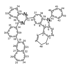 C1=Cc2c(ccc3c2c2cc(-c4nc(-c5cccc(-c6ccc7ccccc7c6)c5)c5ccccc5n4)ccc2n3-c2ccccc2)CC1